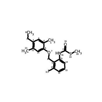 CCc1cc(C)c(OCc2c(I)cccc2NC(=O)SC)cc1C